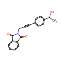 O=C1c2ccccc2C(=O)N1CC#Cc1ccc(C(O)C(F)(F)F)cc1